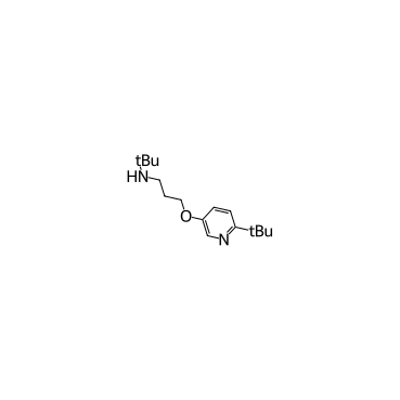 CC(C)(C)NCCCOc1ccc(C(C)(C)C)nc1